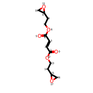 O=C(C=CC(=O)OCCC1CO1)OCCC1CO1